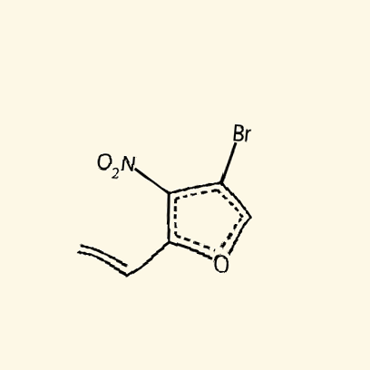 C=Cc1occ(Br)c1[N+](=O)[O-]